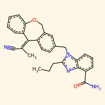 CCCc1nc2c(C(N)=O)cccc2n1Cc1ccc2c(c1)COc1ccccc1/C2=C(/C)C#N